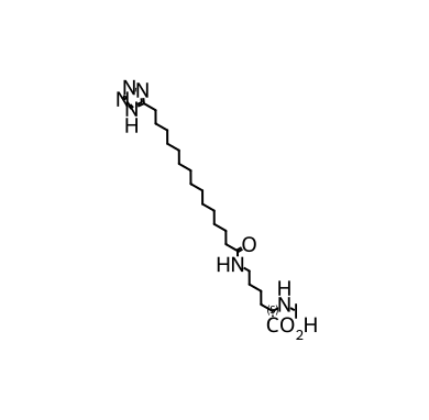 O=C(CCCCCCCCCCCCCCc1nnn[nH]1)NCCCC[C@H](NI)C(=O)O